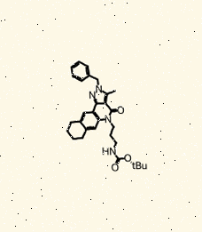 Cc1c2c(=O)n(CCCNC(=O)OC(C)(C)C)c3cc4c(cc3c2nn1Cc1ccccc1)CCCC4